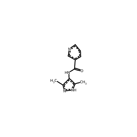 Cc1n[nH]c(C)c1NC(=O)c1cccnc1